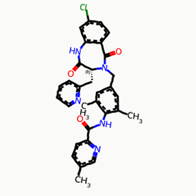 Cc1ccc(C(=O)Nc2c(C)cc(CN3C(=O)c4ccc(Cl)cc4NC(=O)[C@H]3Cc3ccccn3)cc2C)nc1